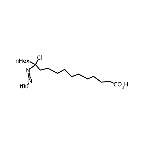 CCCCCCC(Cl)(CCCCCCCCCCC(=O)O)N=NC(C)(C)C